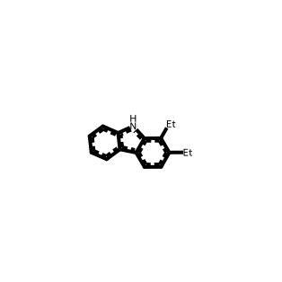 CCc1ccc2c([nH]c3ccccc32)c1CC